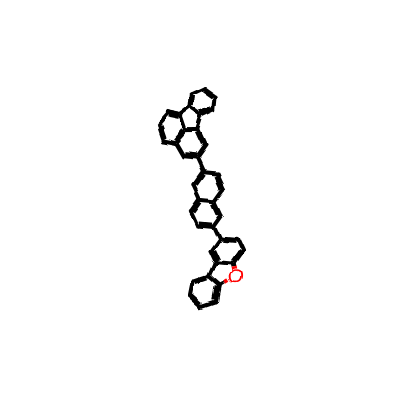 c1ccc2c(c1)-c1cccc3cc(-c4ccc5cc(-c6ccc7oc8ccccc8c7c6)ccc5c4)cc-2c13